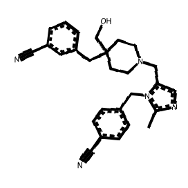 Cc1ncc(CN2CCC(CO)(Cc3cccc(C#N)c3)CC2)n1Cc1ccc(C#N)cc1